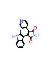 Cc1[nH]c2ccccc2c1C1=C(c2ccncc2)C(=O)NC1=O